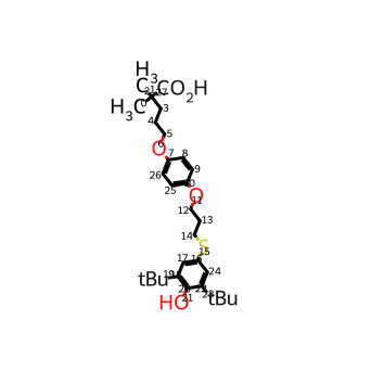 CC(C)(CCCOc1ccc(OCCCSc2cc(C(C)(C)C)c(O)c(C(C)(C)C)c2)cc1)C(=O)O